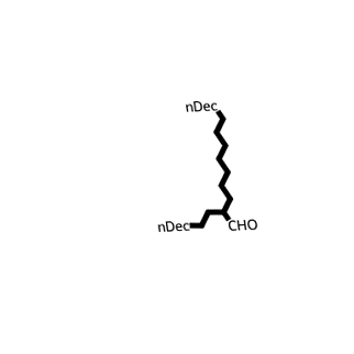 CCCCCCCCCCCCCCCCCC(C=O)CCCCCCCCCCCC